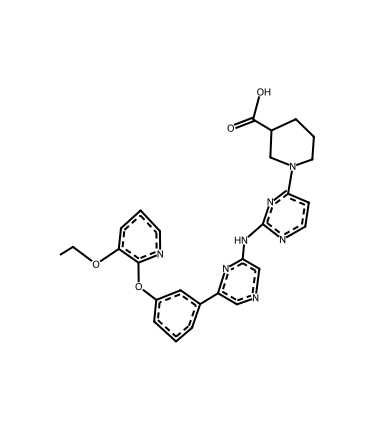 CCOc1cccnc1Oc1cccc(-c2cncc(Nc3nccc(N4CCCC(C(=O)O)C4)n3)n2)c1